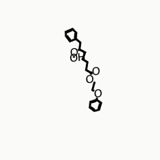 O=C(CCCCC(Cc1ccccc1)OO)OCCOc1ccccc1